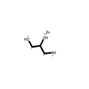 OCC(O)CS.[Zn]